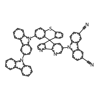 N#Cc1ccc2c(c1)c1cc(C#N)ccc1n2-c1cnc2c(c1)C1(c3ccccc3Sc3ccc(-n4c5ccccc5c5cc(-n6c7ccccc7c7ccccc76)ccc54)cc31)c1cccnc1-2